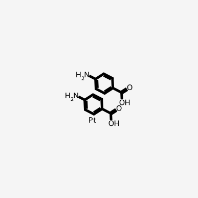 Nc1ccc(C(=O)O)cc1.Nc1ccc(C(=O)O)cc1.[Pt]